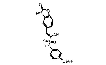 COc1ccc(NS(=O)(=O)/C(C#N)=C/c2ccc3oc(=O)[nH]c3c2)cc1